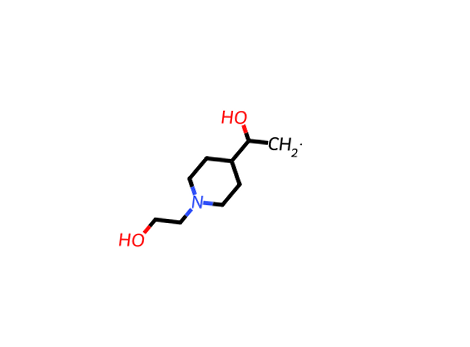 [CH2]C(O)C1CCN(CCO)CC1